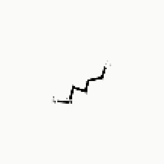 CCCCCCCCBC(C)C